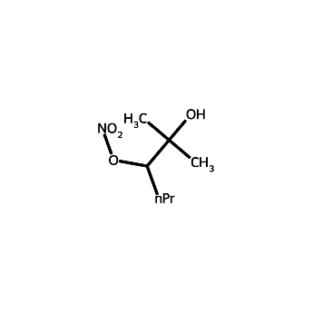 CCCC(O[N+](=O)[O-])C(C)(C)O